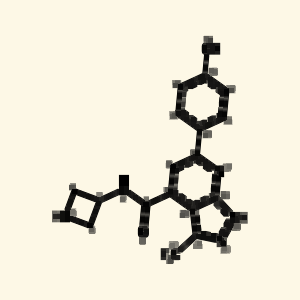 O=C(NC1CNC1)c1cc(-c2ccc(O)cc2)nc2[nH]nc(C(F)(F)F)c12